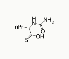 CCCC(NC(N)=O)C(O)=S